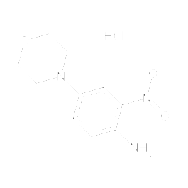 Cl.Nc1ccc(N2CCOCC2)cc1[N+](=O)[O-]